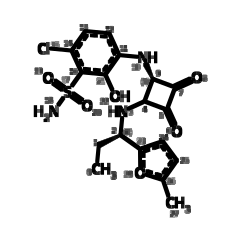 CC[C@@H](NC1C(=O)C(=O)[C@@H]1Nc1ccc(Cl)c(S(N)(=O)=O)c1O)c1ccc(C)o1